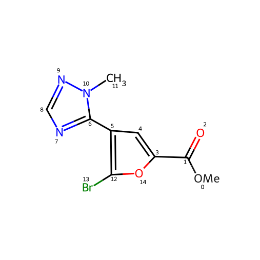 COC(=O)c1cc(-c2ncnn2C)c(Br)o1